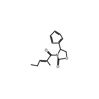 CC/C=C(\C)C(=O)N1C(=O)OCC1c1ccccc1